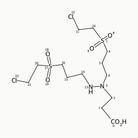 O=C(O)CCN(CCCS(=O)(=O)CCCl)NCCCS(=O)(=O)CCCl